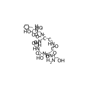 CC(O)[C@H]1C(=O)N[C@@H](CO)C(=O)N[C@H](C(=O)N(C)[C@@H](CO)C(=O)N[C@@H](Cc2ccccc2)C(=O)O)CCCCNC(=O)CC[C@H](NC(=O)[C@@H](N)CO)C(=O)N1C